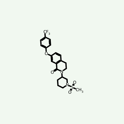 CS(=O)(=O)N1CCCC(N2CCc3ccc(Oc4ccc(C(F)(F)F)cc4)cc3C2=O)C1